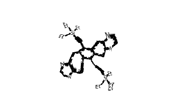 CC[Si](C#Cc1c2cc3nccnc3cc2c(C#C[Si](CC)(CC)CC)c2cc3nccnc3cc12)(CC)CC